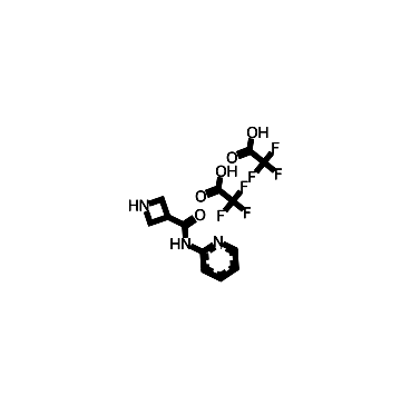 O=C(Nc1ccccn1)C1CNC1.O=C(O)C(F)(F)F.O=C(O)C(F)(F)F